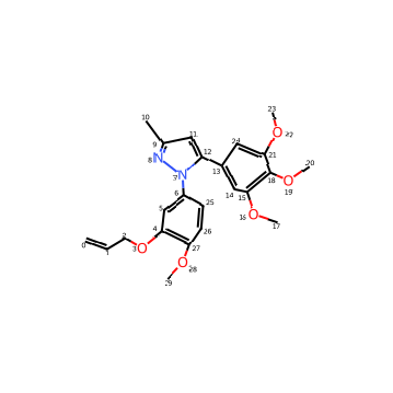 C=CCOc1cc(-n2nc(C)cc2-c2cc(OC)c(OC)c(OC)c2)ccc1OC